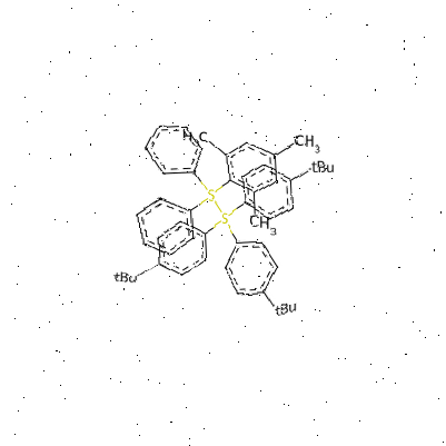 Cc1cc(C)c(S(c2ccccc2)(c2ccccc2)S(c2ccc(C(C)(C)C)cc2)(c2ccc(C(C)(C)C)cc2)c2ccc(C(C)(C)C)cc2)c(C)c1